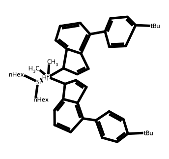 CCCCCC[Si](CCCCCC)=[Hf]([CH3])([CH3])([CH]1C=Cc2c(-c3ccc(C(C)(C)C)cc3)cccc21)[CH]1C=Cc2c(-c3ccc(C(C)(C)C)cc3)cccc21